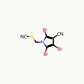 N#CSCn1c(Br)c(Br)c(C#N)c1Br